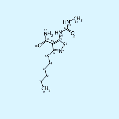 CCCCCSc1nsc(NC(=O)NC)c1C(N)=O